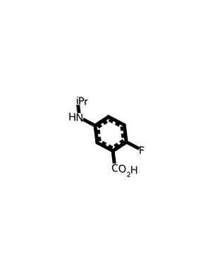 CC(C)Nc1ccc(F)c(C(=O)O)c1